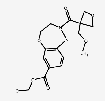 CCOC(=O)c1ccc2c(c1)OCCN(C(=O)C1(COC)COC1)S2